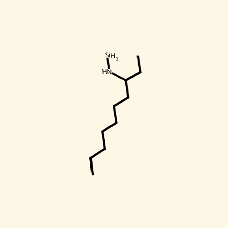 CCCCCCCC(CC)N[SiH3]